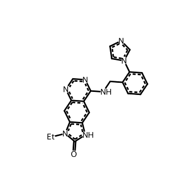 CCn1c(=O)[nH]c2cc3c(NCc4ccccc4-n4ccnc4)ncnc3cc21